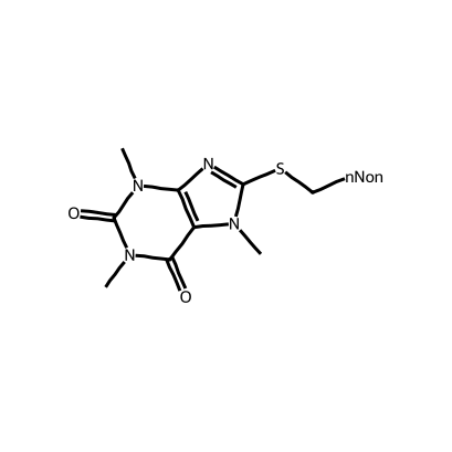 CCCCCCCCCCSc1nc2c(c(=O)n(C)c(=O)n2C)n1C